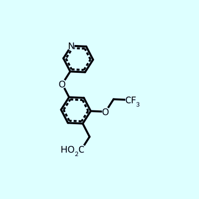 O=C(O)Cc1ccc(Oc2cccnc2)cc1OCC(F)(F)F